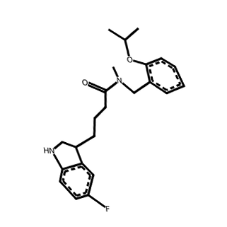 CC(C)Oc1ccccc1CN(C)C(=O)CCCC1CNc2ccc(F)cc21